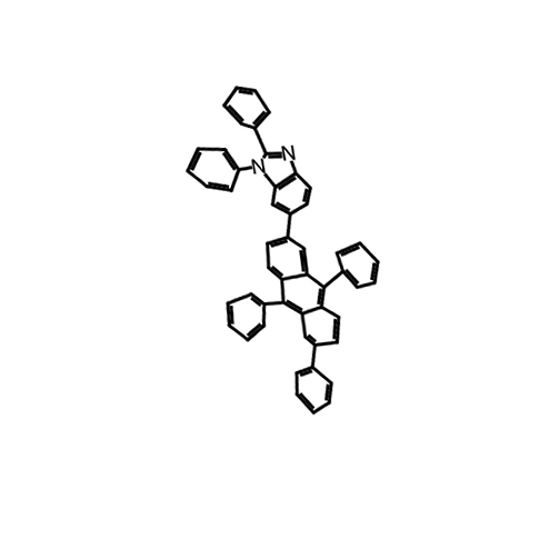 c1ccc(-c2ccc3c(-c4ccccc4)c4cc(-c5ccc6nc(-c7ccccc7)n(-c7ccccc7)c6c5)ccc4c(-c4ccccc4)c3c2)cc1